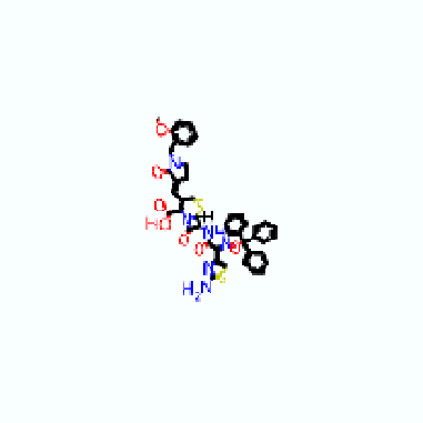 COc1ccccc1CN1CCC(=CC2=C(C(=O)O)N3C(=O)[C@@H](NC(=O)C(=NOC(c4ccccc4)(c4ccccc4)c4ccccc4)c4csc(N)n4)[C@H]3SC2)C1=O